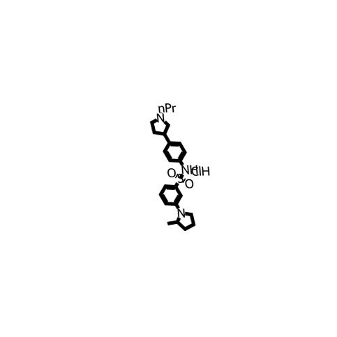 CCCN1CCC(c2ccc(NS(=O)(=O)c3cccc(N4CCCC4C)c3)cc2)C1.Cl